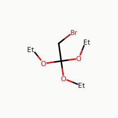 CCOC(CBr)(OCC)OCC